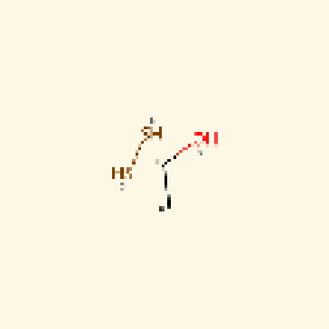 CCO.SS